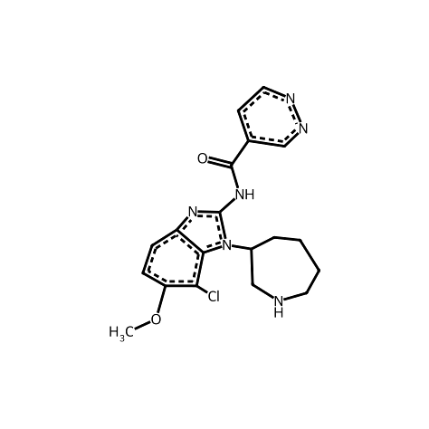 COc1ccc2nc(NC(=O)c3ccnnc3)n(C3CCCCNC3)c2c1Cl